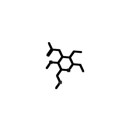 C=C(C)CC1C(CC)C(CC)OC(COC)C1OC